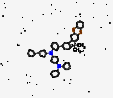 CC1(C)c2ccc(-c3cccc(N(c4ccc(-c5ccccc5)cc4)c4ccc(N(c5ccccc5)c5ccccc5)cc4)c3)cc2-c2cc3c(cc21)Sc1ccccc1S3